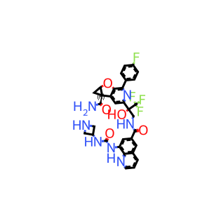 NC(=O)[C@@]12CC1Oc1c2cc(C(O)(CNC(=O)c2cc(NC(=O)NC3CNC3)c3ncccc3c2)C(F)(F)F)nc1-c1ccc(F)cc1